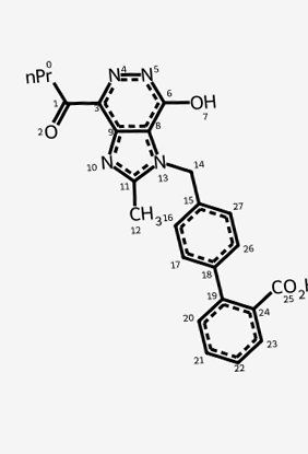 CCCC(=O)c1nnc(O)c2c1nc(C)n2Cc1ccc(-c2ccccc2C(=O)O)cc1